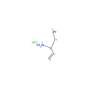 C=CC(N)CC(C)C.Cl